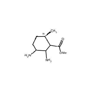 COC(=O)C1C(N)C(N)CC[C@H]1C